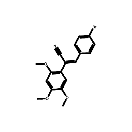 COc1cc(OC)c(C(C#N)=Cc2ccc(Br)cc2)cc1OC